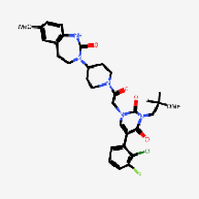 COc1ccc2c(c1)CCN(C1CCN(C(=O)Cn3cc(-c4cccc(F)c4Cl)c(=O)n(CC(C)(C)OC)c3=O)CC1)C(=O)N2